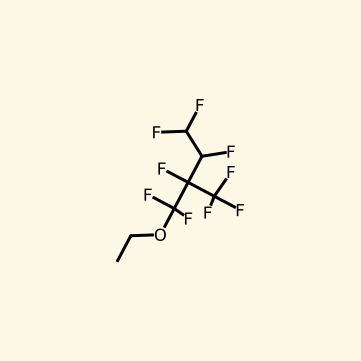 CCOC(F)(F)C(F)(C(F)C(F)F)C(F)(F)F